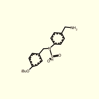 CC(C)COc1ccc(CN(c2ccc(CN)cc2)[SH](=O)=O)cc1